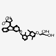 CCC(C(=O)O)=C1c2ccccc2-c2cc(OCc3cccc(-c4c(C)cc(OC[C@H](O)CO)cc4C)c3C)ccc21